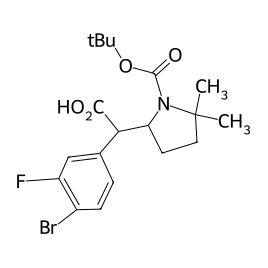 CC(C)(C)OC(=O)N1C(C(C(=O)O)c2ccc(Br)c(F)c2)CCC1(C)C